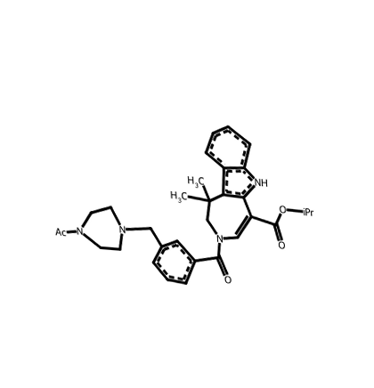 CC(=O)N1CCN(Cc2cccc(C(=O)N3C=C(C(=O)OC(C)C)c4[nH]c5ccccc5c4C(C)(C)C3)c2)CC1